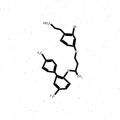 CCc1cc(OCCC(C)Oc2ccc(C(F)(F)F)cc2-c2ccc(C(F)(F)F)cc2)ccc1CCC(=O)O